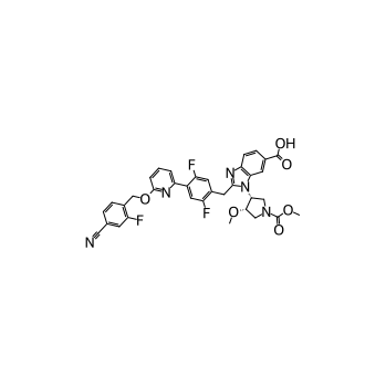 COC(=O)N1C[C@H](OC)[C@H](n2c(Cc3cc(F)c(-c4cccc(OCc5ccc(C#N)cc5F)n4)cc3F)nc3ccc(C(=O)O)cc32)C1